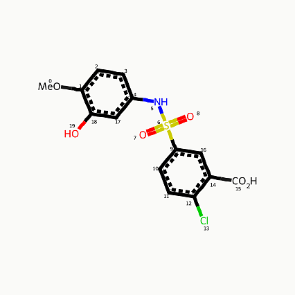 COc1ccc(NS(=O)(=O)c2ccc(Cl)c(C(=O)O)c2)cc1O